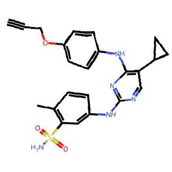 C#CCOc1ccc(Nc2nc(Nc3ccc(C)c(S(N)(=O)=O)c3)ncc2C2CC2)cc1